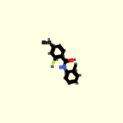 COc1ccc(C(=O)Nc2ccccc2C)c(F)c1